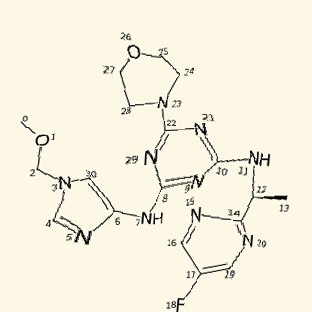 COCn1cnc(Nc2nc(N[C@@H](C)c3ncc(F)cn3)nc(N3CCOCC3)n2)c1